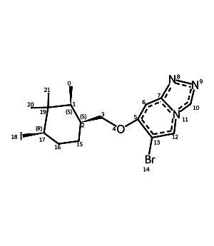 C[C@H]1[C@@H](COc2cc3nncn3cc2Br)CC[C@@H](I)C1(C)C